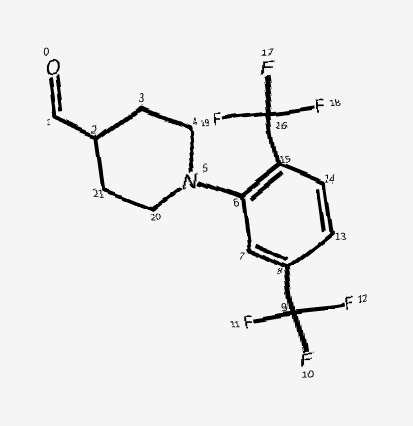 O=CC1CCN(c2cc(C(F)(F)F)ccc2C(F)(F)F)CC1